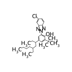 CCCCC(CC)CC(CC)c1cc(-n2nc3ccc(Cl)cc3n2)c(O)c(C(C)(C)C)c1